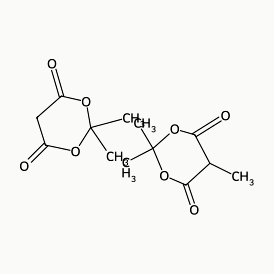 CC1(C)OC(=O)CC(=O)O1.CC1C(=O)OC(C)(C)OC1=O